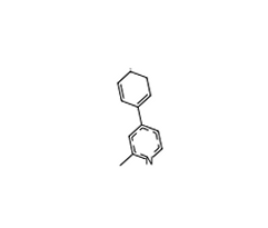 Cc1cc(C2=CC[CH]C=C2)ccn1